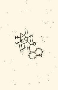 O=C1[C@@H]2[C@@H]3CC[C@@H]([C@@H]4C[C@@H]43)[C@@H]2C(=O)N1c1cccc2ncccc12